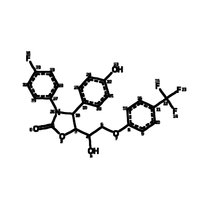 O=C1OC(C(O)COc2ccc(C(F)(F)F)cc2)C(c2ccc(O)cc2)N1c1ccc(F)cc1